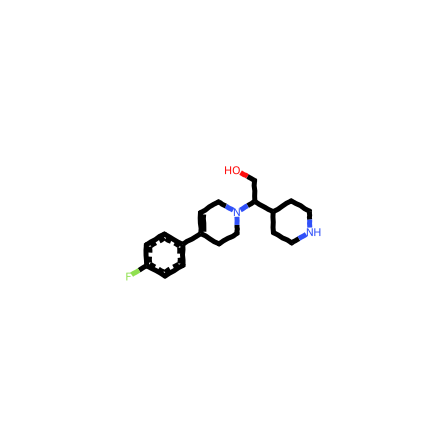 OCC(C1CCNCC1)N1CC=C(c2ccc(F)cc2)CC1